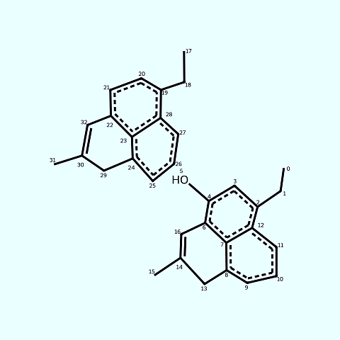 CCc1cc(O)c2c3c(cccc13)CC(C)=C2.CCc1ccc2c3c(cccc13)CC(C)=C2